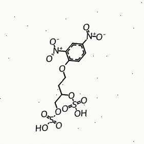 O=[N+]([O-])c1ccc(OCCC(COS(=O)(=O)O)OS(=O)(=O)O)c([N+](=O)[O-])c1